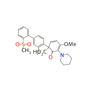 COC1=C(N2CCCCC2)C(=O)C(C(=O)O)(c2ccc(-c3ccccc3S(C)(=O)=O)cc2F)C=C1